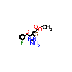 CCOC(=O)c1cc2c(C(=O)c3cccc(F)c3)nc(N)nc2s1